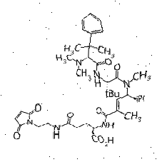 C/C(=C\[C@H](C(C)C)N(C)C(=O)[C@@H](NC(=O)[C@@H](N(C)C)C(C)(C)c1ccccc1)C(C)(C)C)C(=O)N[C@H](CCC(=O)NCCN1C(=O)C=CC1=O)C(=O)O